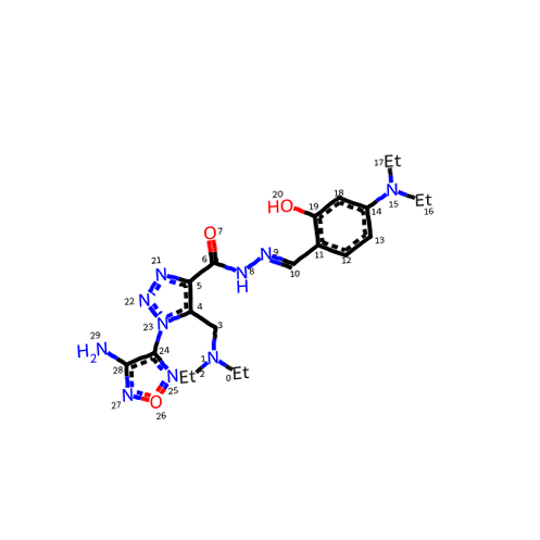 CCN(CC)Cc1c(C(=O)N/N=C/c2ccc(N(CC)CC)cc2O)nnn1-c1nonc1N